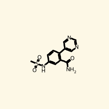 CS(=O)(=O)Nc1ccc(-c2cncnc2)c(C(N)=O)c1